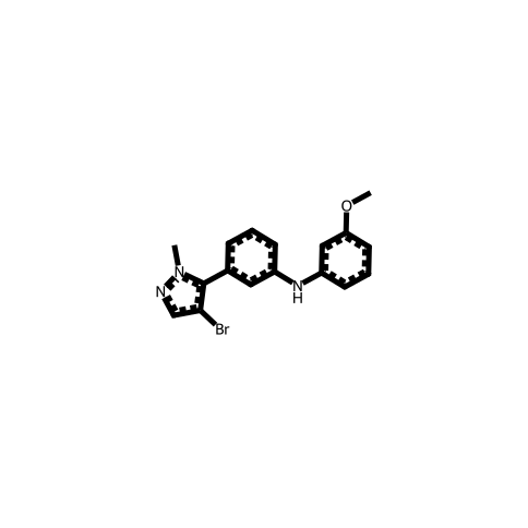 COc1cccc(Nc2cccc(-c3c(Br)cnn3C)c2)c1